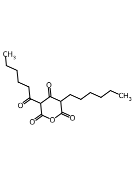 CCCCCCC1C(=O)OC(=O)C(C(=O)CCCCC)C1=O